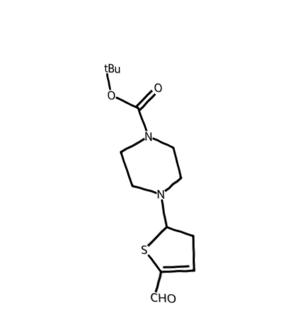 CC(C)(C)OC(=O)N1CCN(C2CC=C(C=O)S2)CC1